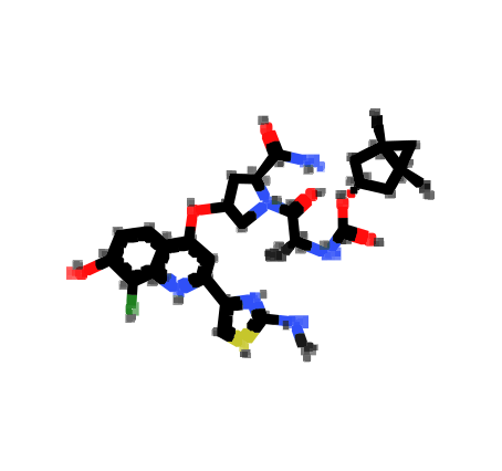 CC(C)Nc1nc(-c2cc(OC3C[C@@H](C(N)=O)N(C(=O)[C@@H](NC(=O)O[C@@H]4C[C@@H]5C[C@@H]5C4)C(C)(C)C)C3)c3ccc(O)c(Cl)c3n2)cs1